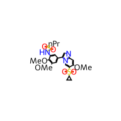 CCCS(=O)(=O)Nc1cc(-c2cnc3cc(OC)c(S(=O)(=O)C4CC4)cn23)cc(OC)c1OC